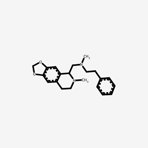 CN(CCc1ccccc1)CC1c2cc3c(cc2CCN1C)OCO3